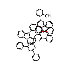 Cc1ccccc1-c1ccc2c(c1)c1ccccc1n2-c1c(-c2ccccc2-n2c3ccccc3c3ccccc32)cc(-c2nc(-c3ccccc3)nc(-c3ccccc3)n2)cc1-c1ccccc1-n1c2ccccc2c2ccccc21